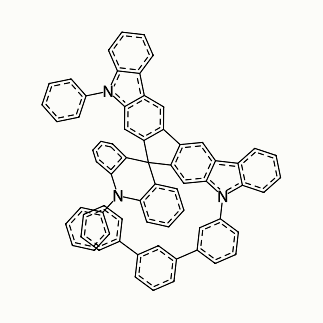 c1ccc(-c2cccc(-c3cccc(-n4c5ccccc5c5cc6c(cc54)C4(c5cc7c(cc5-6)c5ccccc5n7-c5ccccc5)c5ccccc5N(c5ccccc5)c5ccccc54)c3)c2)cc1